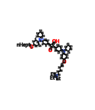 CCCCCCCOc1ccc([N+](=C2C=CC(=C3C(=O)C(c4ccc(N(c5ccc(OCCCCCC[N+](CC)(CC)CC)cc5)C5CCCCC5)cc4)=C3O)C=C2)C2CCCCC2)cc1